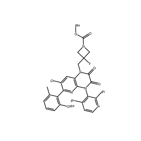 COc1cccc(C)c1-c1nc2c(cc1Cl)n(CC1(F)CN(C(=O)OC(C)(C)C)C1)c(=O)c(=O)n2-c1c(C(C)C)ccnc1C(C)C